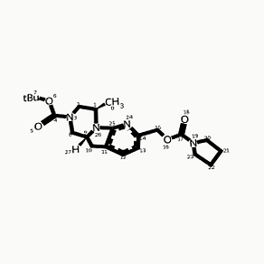 C[C@@H]1CN(C(=O)OC(C)(C)C)C[C@H]2Cc3ccc(COC(=O)N4CCCC4)nc3N21